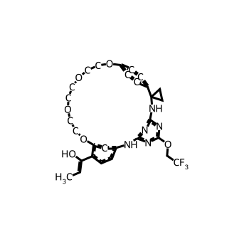 CC=C(O)c1ccc2cc1OCCOCCOCCOc1ccc(cc1)C1(CC1)Nc1nc(nc(OCC(F)(F)F)n1)N2